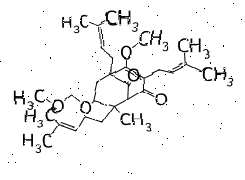 COCOC1CC2(CC=C(C)C)C(=O)C(C(=O)C(CC=C(C)C)=C2OC)C1(C)CCC=C(C)C